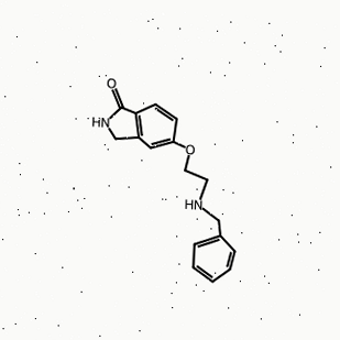 O=C1NCc2cc(OCCNCc3ccccc3)ccc21